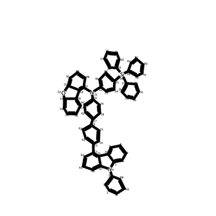 c1ccc(-n2c3ccccc3c3c(-c4ccc(-c5ccc(N(c6ccc([Si](c7ccccc7)(c7ccccc7)c7ccccc7)cc6)c6cccc7oc8ccccc8c67)cc5)cc4)cccc32)cc1